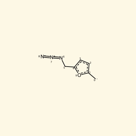 [CH2]c1ccc(CN=[N+]=[N-])o1